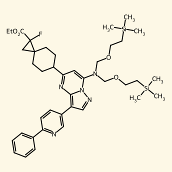 CCOC(=O)C1(F)CC12CCC(c1cc(N(COCC[Si](C)(C)C)COCC[Si](C)(C)C)n3ncc(-c4ccc(-c5ccccc5)nc4)c3n1)CC2